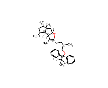 CC1CC(C)[C@]2(C)[C@H]3[C@H](C)[C@@H](CC[C@@H](C)CO[Si](c4ccccc4)(c4ccccc4)C(C)(C)C)O[C@H]3C[C@@]12C